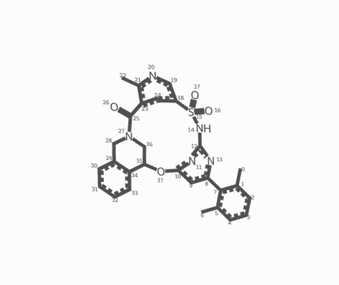 Cc1cccc(C)c1-c1cc2nc(n1)NS(=O)(=O)c1cnc(C)c(c1)C(=O)N1Cc3ccccc3C(C1)O2